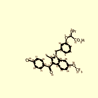 CCCC(Oc1cccc(Cn2c(C)c(C(=O)c3ccc(Cl)cc3)c3ccc(OC(F)(F)F)cc32)c1)C(=O)O